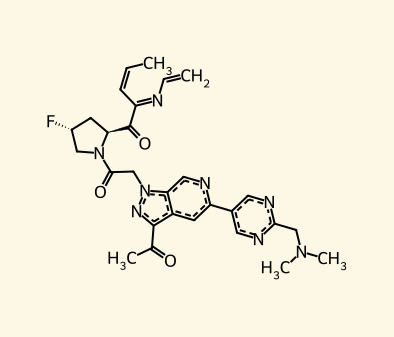 C=C/N=C(\C=C/C)C(=O)[C@@H]1C[C@@H](F)CN1C(=O)Cn1nc(C(C)=O)c2cc(-c3cnc(CN(C)C)nc3)ncc21